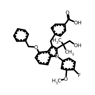 COc1cc(-n2c(C(C)(C)CO)c(Cc3ccc(C(=O)O)cc3)c3c(OCc4ccccc4)cccc32)ccc1F